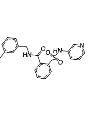 Cc1cccc(CNC(=O)c2ccccc2S(=O)(=O)Nc2cccnc2)c1